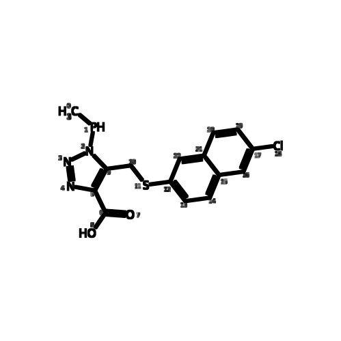 CPn1nnc(C(=O)O)c1CSc1ccc2cc(Cl)ccc2c1